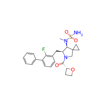 CN([C@@H]1[C@H](Cc2cccc(-c3ccccc3)c2F)N(C(=O)[C@H]2CCO2)CC12CC2)S(N)(=O)=O